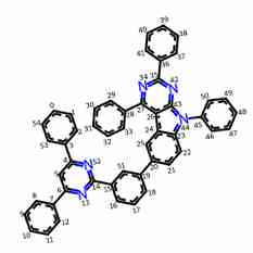 c1ccc(-c2cc(-c3ccccc3)nc(-c3cccc(-c4ccc5c(c4)c4c(-c6ccccc6)nc(-c6ccccc6)nc4n5-c4ccccc4)c3)n2)cc1